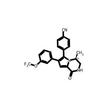 C[C@H]1CNC(=O)c2cc(-c3cccc(OC(F)(F)F)c3)c(-c3ccc(C#N)cc3)n21